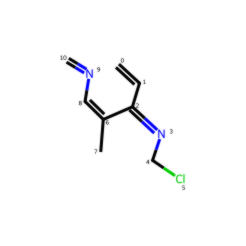 C=CC(=N/CCl)/C(C)=C\N=C